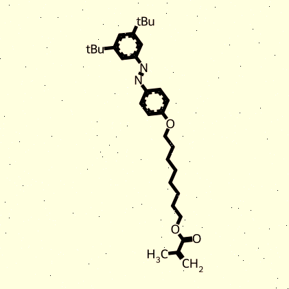 C=C(C)C(=O)OCCCCCCCCOc1ccc(N=Nc2cc(C(C)(C)C)cc(C(C)(C)C)c2)cc1